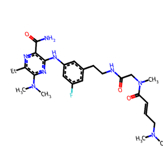 CCc1nc(C(N)=O)c(Nc2cc(F)cc(CCNC(=O)CN(C)C(=O)/C=C/CN(C)C)c2)nc1N(C)C